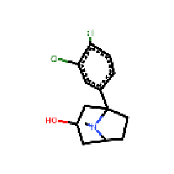 CN1C2CCC1(c1ccc(Cl)c(Cl)c1)CC(O)C2